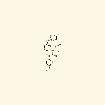 COc1ccc(N2C(=O)N([C@H](C)CO)c3nc(Nc4ccc(F)cc4)ncc3[C@@H]2C)cc1